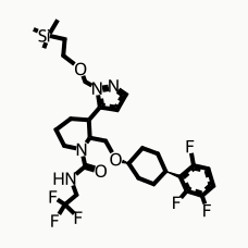 C[Si](C)(C)CCOCn1nccc1C1CCCN(C(=O)NCC(F)(F)F)C1CO[C@H]1CC[C@@H](c2c(F)ccc(F)c2F)CC1